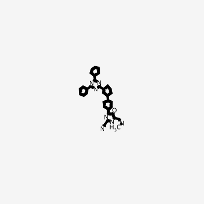 C/N=C\c1nc(C#N)nc2c1oc1cc(-c3cccc(-c4nc(-c5ccccc5)nc(-c5ccccc5)n4)c3)ccc12